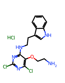 Cl.NCCOc1c(Cl)nc(Cl)nc1NCCc1c[nH]c2ccccc12